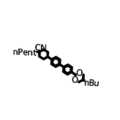 CCCCCC1(C#N)CCC(c2ccc(-c3ccc(C4OCC(CCCC)CO4)cc3)cc2)CC1